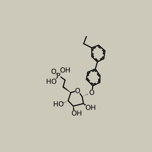 CCc1cccc(-c2ccc(O[C@H]3O[C@H](CCP(=O)(O)O)[C@@H](O)[C@H](O)[C@@H]3O)cc2)c1